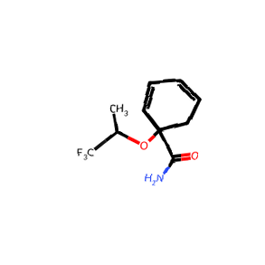 CC(OC1(C(N)=O)C=CC=CC1)C(F)(F)F